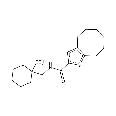 O=C(NCC1(C(=O)O)CCCCC1)c1cc2c(s1)CCCCCC2